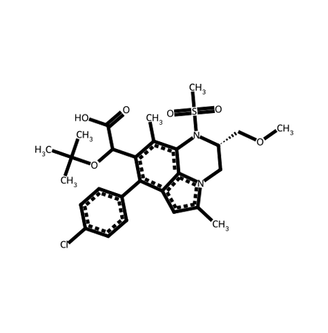 COC[C@@H]1Cn2c(C)cc3c(-c4ccc(Cl)cc4)c(C(OC(C)(C)C)C(=O)O)c(C)c(c32)N1S(C)(=O)=O